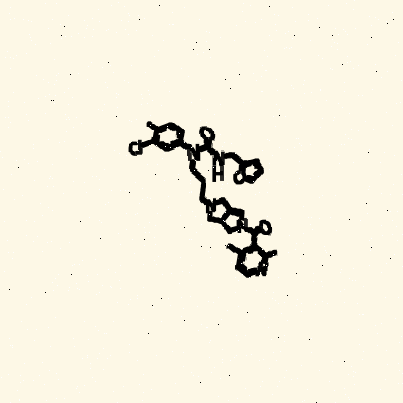 Cc1ccc(N(CCCN2CC3=CN(C(=O)c4c(C)ccnc4C)CC3C2)C(=O)NCc2ccco2)cc1Cl